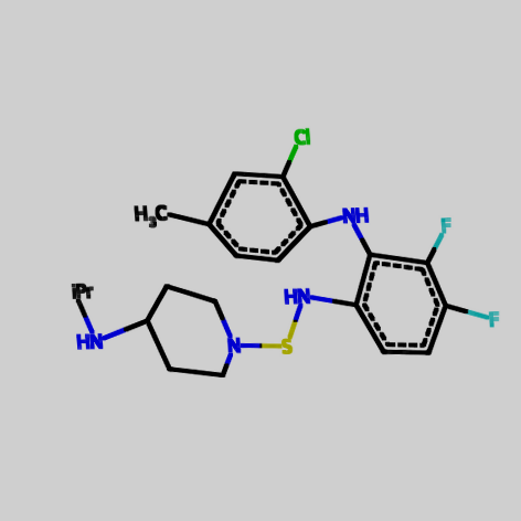 Cc1ccc(Nc2c(NSN3CCC(NC(C)C)CC3)ccc(F)c2F)c(Cl)c1